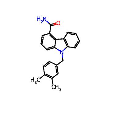 Cc1ccc(Cn2c3ccc[c]c3c3c(C(N)=O)cccc32)cc1C